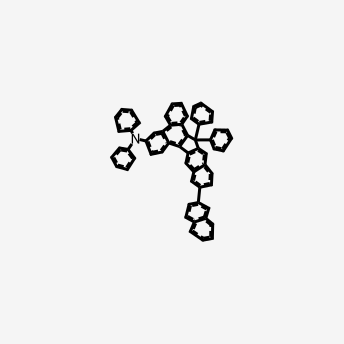 c1ccc(N(c2ccccc2)c2ccc3c4c(c5ccccc5c3c2)C(c2ccccc2)(c2ccccc2)c2cc3ccc(-c5ccc6ccccc6c5)cc3cc2-4)cc1